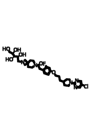 O=C(Cc1ccc(OCCCC2CCN(c3ncc(Cl)cn3)CC2)cc1F)N1CCC2(CC1)CN(C[C@H](O)[C@H](O)[C@H](O)CO)C2